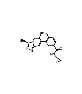 Cc1ccc(C(=O)NC2CC2)cc1-c1cc2nnc(C(C)(C)C)n2cc1F